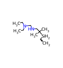 C=C[SiH2]C(C)(C)CNCN(CC)CC